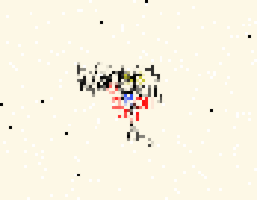 C=CCOC(=O)[C@@H](O)N1C(=O)[C@H]([C@@H](C)O[Si](C)(C)C(C)(C)C)[C@H]1[C@@H](C)C(=S)SC